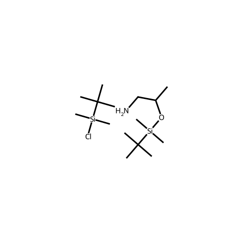 CC(C)(C)[Si](C)(C)Cl.CC(CN)O[Si](C)(C)C(C)(C)C